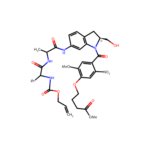 C=CCOC(=O)NC(C(=O)NC(C)C(=O)Nc1ccc2c(c1)N(C(=O)c1cc(OC)c(OCCCC(=O)OC)cc1[N+](=O)[O-])[C@H](CO)C2)C(C)C